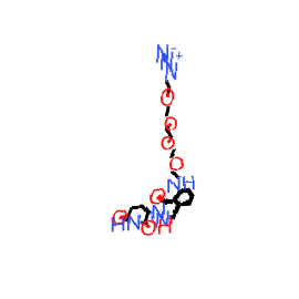 [N-]=[N+]=NCCOCCOCCOCCOCCNc1cccc2cnn(C3CCC(=O)NC3O)c(=O)c12